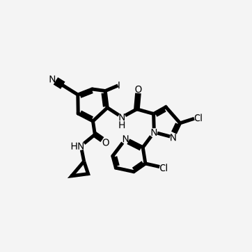 N#Cc1cc(I)c(NC(=O)c2cc(Cl)nn2-c2ncccc2Cl)c(C(=O)NC2CC2)c1